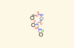 CC(C)(C)OC(=O)NC1CCN(C(=O)CN(CC(=O)NCc2ccccc2Cl)c2ccccc2Oc2ccccc2)C1